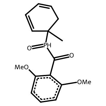 COc1cccc(OC)c1C(=O)[PH](=O)C1(C)C=CC=CC1